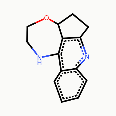 c1ccc2c3c4c(nc2c1)CCC4OCCN3